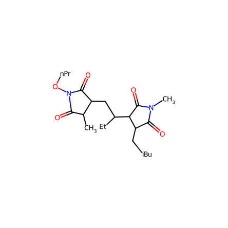 CCCON1C(=O)C(C)C(CC(CC)C2C(=O)N(C)C(=O)C2CC(C)CC)C1=O